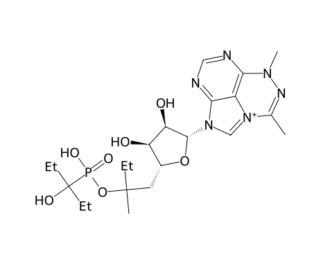 CCC(C)(C[C@H]1O[C@@H](n2c[n+]3c4c(ncnc42)N(C)N=C3C)[C@H](O)[C@@H]1O)OP(=O)(O)C(O)(CC)CC